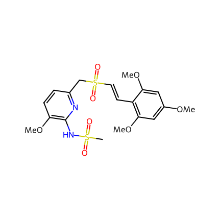 COc1cc(OC)c(C=CS(=O)(=O)Cc2ccc(OC)c(NS(C)(=O)=O)n2)c(OC)c1